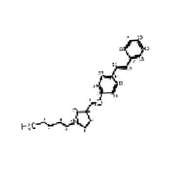 CCCCCN1CCC(COc2ccc(C=Cc3ccccc3)cc2)C1